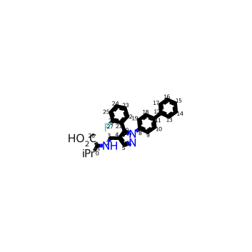 CC(C)C(NCc1cnn(-c2ccc(-c3ccccc3)cc2)c1-c1ccccc1F)C(=O)O